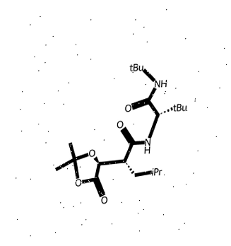 CC(C)C[C@@H](C(=O)N[C@H](C(=O)NC(C)(C)C)C(C)(C)C)[C@@H]1OC(C)(C)OC1=O